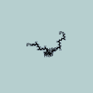 CC(C)CCCC(C)CCCC(C)CCCC(C)CCOCC(O)COP(=O)(O)C(C[N+](C)(C)C)OCCC(C)CCCC(C)CCCC(C)CCCC(C)C